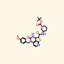 COc1ccc(CN2C(=O)NC3c4c2ccnc4SC3C(=O)N[C@@H]2CCCN(C(=O)OC(C)(C)C)C2)cc1